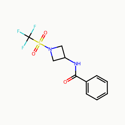 O=C(NC1CN(S(=O)(=O)C(F)(F)F)C1)c1ccccc1